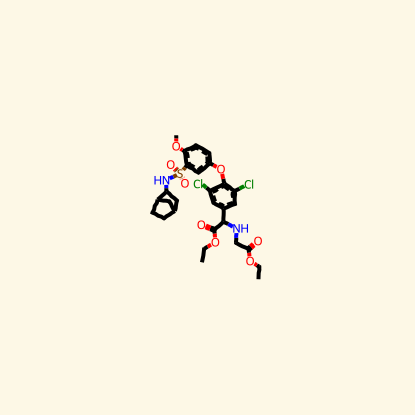 CCOC(=O)CNC(C(=O)OCC)c1cc(Cl)c(Oc2ccc(OC)c(S(=O)(=O)NC3CC4CCC3C4)c2)c(Cl)c1